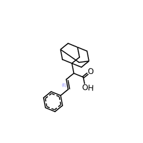 O=C(O)C(/C=C/c1ccccc1)C12CC3CC(CC(C3)C1)C2